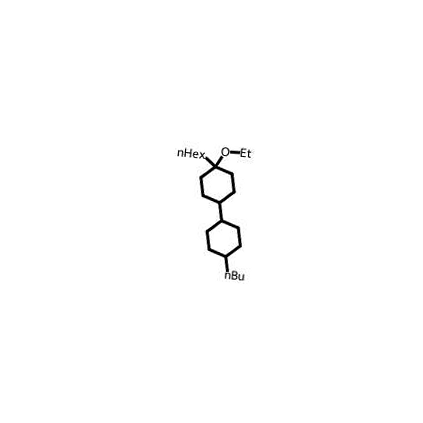 CCCCCCC1(OCC)CCC(C2CCC(CCCC)CC2)CC1